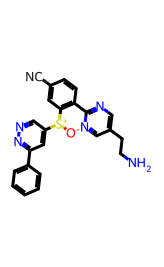 N#Cc1ccc(-c2ncc(CCN)cn2)c([S+]([O-])c2cnnc(-c3ccccc3)c2)c1